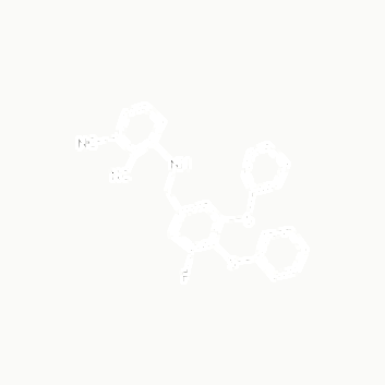 N#Cc1cccc(NCc2cc(F)c(Sc3ccccc3)c(Sc3ccccc3)c2)c1C#N